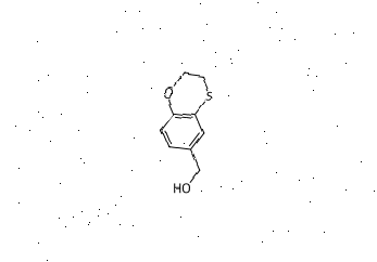 OCc1ccc2c(c1)SCCO2